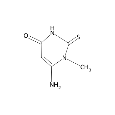 Cn1c(N)cc(=O)[nH]c1=S